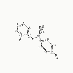 Cc1cccc[n+]1CC(=O)c1ccc(F)cc1.[Br-]